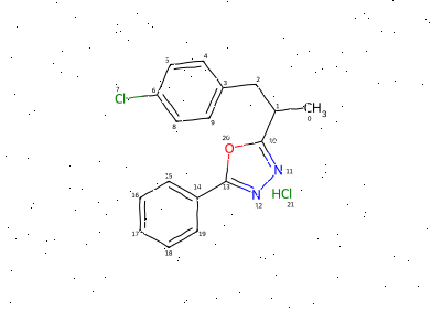 CC(Cc1ccc(Cl)cc1)c1nnc(-c2ccccc2)o1.Cl